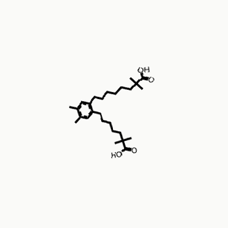 Cc1cc(CCCCCCC(C)(C)C(=O)O)c(CCCCCC(C)(C)C(=O)O)cc1C